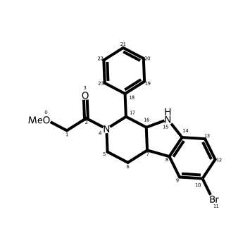 COCC(=O)N1CCC2c3cc(Br)ccc3NC2C1c1ccccc1